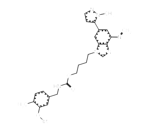 C=Nc1cc(-c2ccnn2C)cc2c1ncn2CCCCOC(=O)NCc1ccc(C)c(OCC)c1